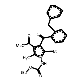 CCc1c(C(=O)c2ccccc2Cc2ccccc2)c(C(=O)OC)c(C)n1NC(=O)OC(C)(C)C